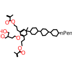 C=C(C)C(=O)OCCCC1=CC(C)(C2CCC(C3CCC(C4CCC(CCCCC)CC4)CC3)CC2)CC(CCCOC(=O)C(=C)C)=C1OCCC(CO)CO